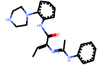 C/C=C(\N=C(/C)Nc1ccccc1)C(=O)Nc1ccccc1N1CCNCC1